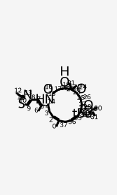 C/C1=C/C[C@@H](/C(C)=C/c2csc(C)n2)NC(=O)C[C@H](O)C(C)(C)C(=O)[C@H](C)[C@@H](O[Si](C)(C)C(C)(C)C)[C@@H](C)/C=C\C1